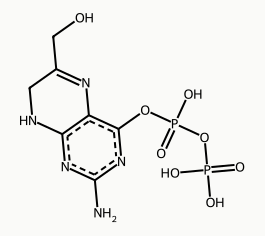 Nc1nc2c(c(OP(=O)(O)OP(=O)(O)O)n1)N=C(CO)CN2